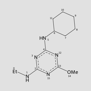 CCNc1nc(NC2CCCCC2)nc(OC)n1